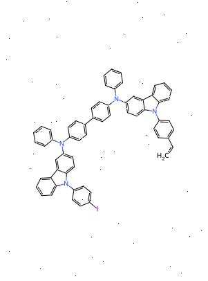 C=Cc1ccc(-n2c3ccccc3c3cc(N(c4ccccc4)c4ccc(-c5ccc(N(c6ccccc6)c6ccc7c(c6)c6ccccc6n7-c6ccc(I)cc6)cc5)cc4)ccc32)cc1